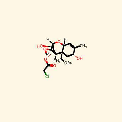 CC(=O)OC[C@]12C[C@@H](O)C(C)=C[C@H]1O[C@@H]1[C@H](O)[C@@H](OC(=O)CCl)[C@@]2(C)[C@]12CO2